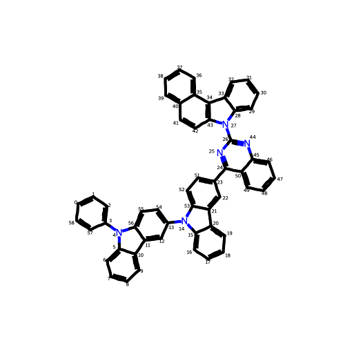 c1ccc(-n2c3ccccc3c3cc(-n4c5ccccc5c5cc(-c6nc(-n7c8ccccc8c8c9ccccc9ccc87)nc7ccccc67)ccc54)ccc32)cc1